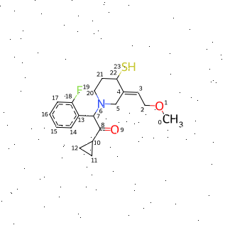 COC/C=C1\CN(C(C(=O)C2CC2)c2ccccc2F)CCC1S